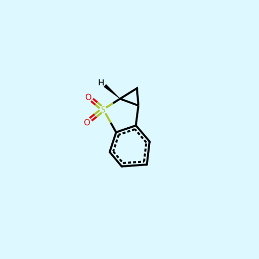 O=S1(=O)c2ccccc2C2C[C@H]21